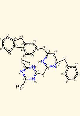 Cc1nc(C)nc(Cc2nc(Cc3ccccc3)cc(Cc3ccc4c(c3)Cc3ccccc3-4)n2)n1